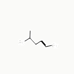 CCC(C)/C=C/CC(C)C(C)=O